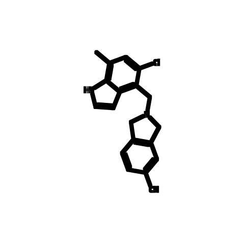 Cc1cc(Cl)c(CN2Cc3ccc(C#N)cc3C2)c2cc[nH]c12